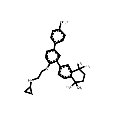 CCOC(=O)c1ccc(-c2ccc(OCCNC3CC3)c(-c3ccc4c(c3)C(C)(C)CCC4(C)C)c2)cc1